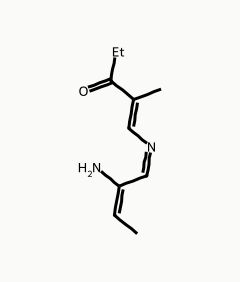 C\C=C(N)/C=N\C=C(/C)C(=O)CC